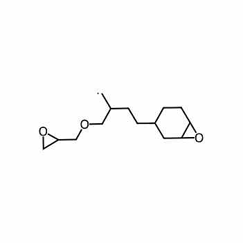 [CH2]C(CCC1CCC2OC2C1)COCC1CO1